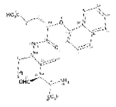 CC(C)C[C@H](NC(=O)[C@H](CCC(=O)O)Oc1cccc2ccccc12)C(=O)[C@H](C=O)C(N)C(=O)O